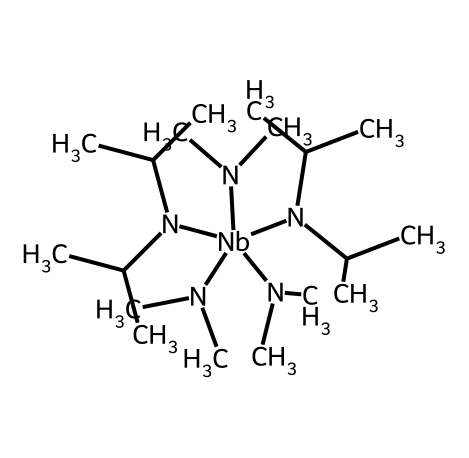 CC(C)[N](C(C)C)[Nb]([N](C)C)([N](C)C)([N](C)C)[N](C(C)C)C(C)C